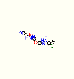 CN1CCC(CCC(=O)Nc2cc(Oc3ccc4c(c3)nc(Nc3ccc(Cl)c(C(C)(C)C)c3)n4C)ccn2)CC1